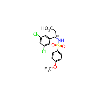 O=C(O)C[C@H](NS(=O)(=O)c1ccc(OC(F)(F)F)cc1)c1cc(Cl)cc(Cl)c1